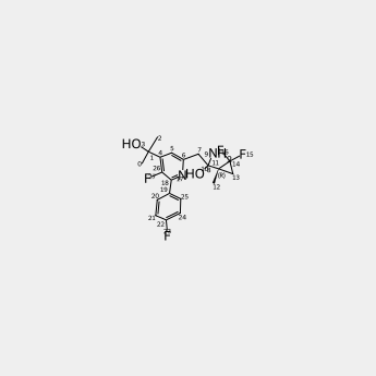 CC(C)(O)c1cc(CC(N)(O)[C@@]2(C)CC2(F)F)nc(-c2ccc(F)cc2)c1F